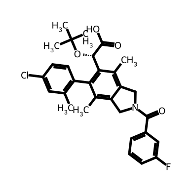 Cc1cc(Cl)ccc1-c1c(C)c2c(c(C)c1[C@H](OC(C)(C)C)C(=O)O)CN(C(=O)c1cccc(F)c1)C2